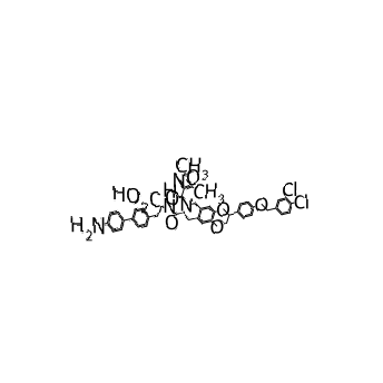 Cc1nc(C(=O)N2Cc3cc4c(cc3C[C@H]2C(=O)N[C@@H](Cc2ccc(-c3ccc(N)cc3)cc2)C(=O)O)OCC(c2ccc(OCc3ccc(Cl)c(Cl)c3)cc2)O4)c(C)o1